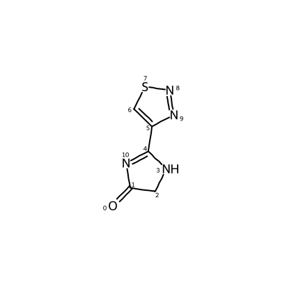 O=C1CNC(c2csnn2)=N1